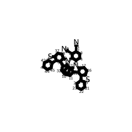 N#Cc1ccc(-n2c3ccccc3c3c4c(ccc32)sc2ccccc24)c(-n2c3ccccc3c3c4c(ccc32)sc2ccccc24)c1C#N